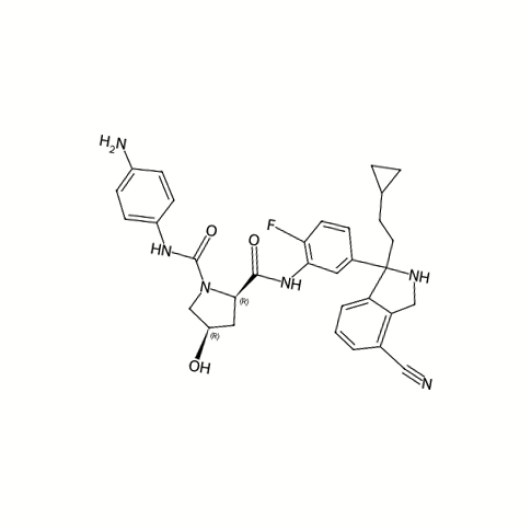 N#Cc1cccc2c1CNC2(CCC1CC1)c1ccc(F)c(NC(=O)[C@H]2C[C@@H](O)CN2C(=O)Nc2ccc(N)cc2)c1